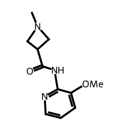 COc1cccnc1NC(=O)C1CN(C)C1